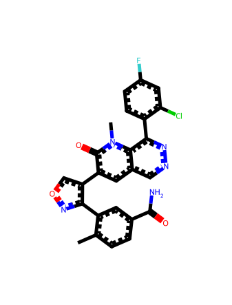 Cc1ccc(C(N)=O)cc1-c1nocc1-c1cc2cnnc(-c3ccc(F)cc3Cl)c2n(C)c1=O